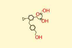 OCCc1ccc(Cc2cc(C3C[C@@H](O)C[C@@H](CO)O3)ccc2C2CC2)cc1